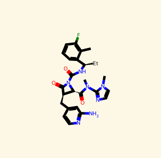 CC[C@@H](NC(=O)N1C(=O)[C@H](Cc2ccnc(N)c2)[C@H]1C(=O)N(C)c1nccn1C)c1cccc(F)c1C